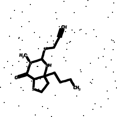 C#CCSC1NC2(CCCC)CCSC2C(=O)N1C